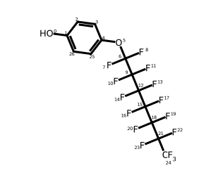 Oc1ccc(OC(F)(F)C(F)(F)C(F)(F)C(F)(F)C(F)(F)C(F)(F)C(F)(F)F)cc1